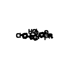 CN1CC(Oc2ccc(-n3ccc4cc(-c5ccc(Cl)cc5)sc4c3=O)cc2F)C1.Cl